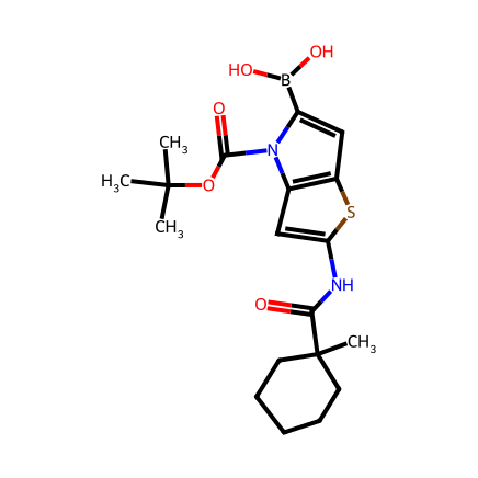 CC(C)(C)OC(=O)n1c(B(O)O)cc2sc(NC(=O)C3(C)CCCCC3)cc21